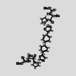 CCCCC(NC(=O)OC)C(=O)N1CCC[C@H]1c1ncc(-c2ccc(-c3ccc(-c4cnc([C@@H]5CCCN5C(=O)[C@H](CCCC)NC(=O)OC)s4)cc3)cc2)s1